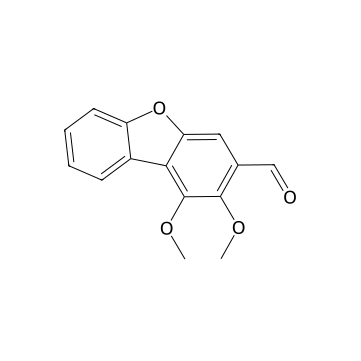 COc1c(C=O)cc2oc3ccccc3c2c1OC